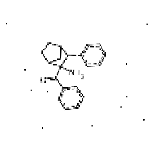 NC1(C(=O)c2ccccc2)C2CCC(C2)C1c1ccccc1